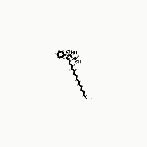 CCCCCCCCCCCCCCCC[N+](C)(C(=N)NC(=O)O)c1ccccc1